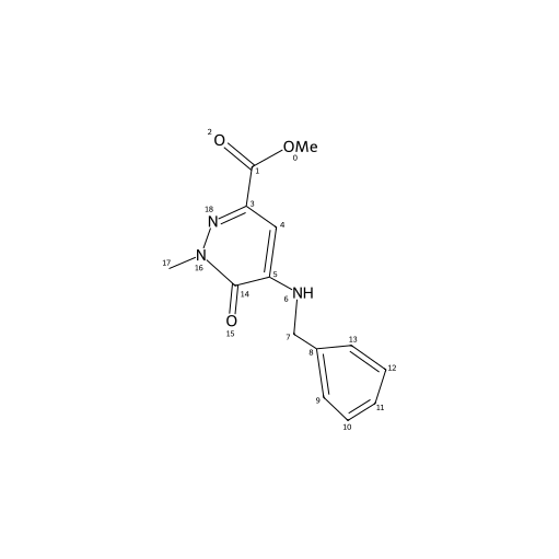 COC(=O)c1cc(NCc2ccccc2)c(=O)n(C)n1